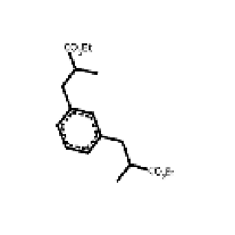 CCOC(=O)C(C)Cc1cccc(CC(C)C(=O)OCC)c1